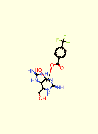 N=C1NC2C(CO)NC(=N)N3C[C@H](OC(=O)c4ccc(C(F)(F)F)cc4)[C@H](O)C23N1